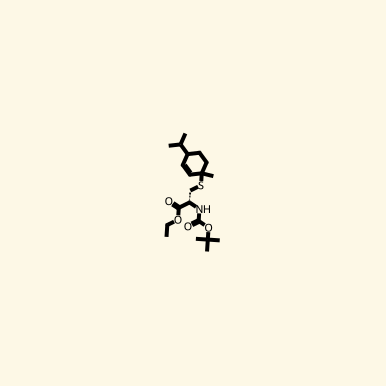 CCOC(=O)[C@H](CSC1(C)C=CC(C(C)C)CC1)NC(=O)OC(C)(C)C